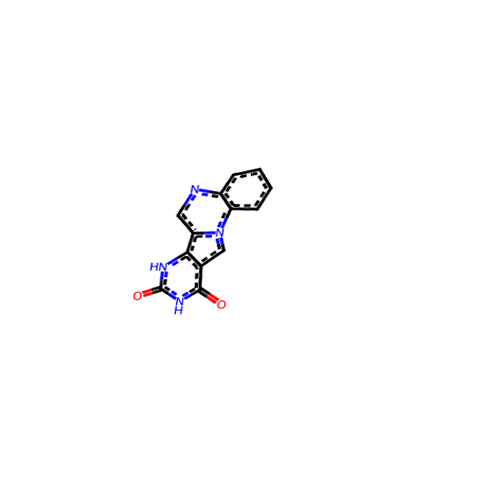 O=c1[nH]c(=O)c2cn3c4ccccc4ncc3c2[nH]1